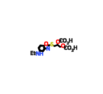 CCNc1ccc2oc(SCC(COC(=O)O)OC(=O)O)nc2c1